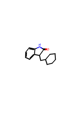 O=C1Nc2ccccc2C1CC1CCCCC1